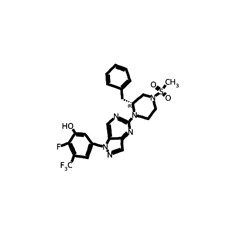 CS(=O)(=O)N1CCN(c2ncc3c(cnn3-c3cc(O)c(F)c(C(F)(F)F)c3)n2)[C@H](Cc2ccccc2)C1